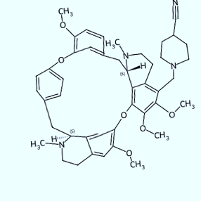 COc1ccc2cc1Oc1ccc(cc1)C[C@H]1c3cc(c(OC)cc3CCN1C)Oc1c(OC)c(OC)c(CN3CCC(C#N)CC3)c3c1[C@H](C2)N(C)CC3